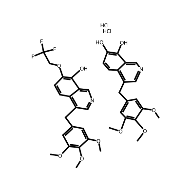 COc1cc(Cc2cncc3c(O)c(O)ccc23)cc(OC)c1OC.COc1cc(Cc2cncc3c(O)c(OCC(F)(F)F)ccc23)cc(OC)c1OC.Cl.Cl